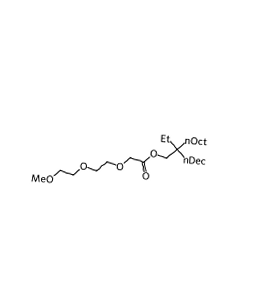 CCCCCCCCCCC(CC)(CCCCCCCC)COC(=O)COCCOCCOC